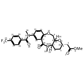 COC(=O)C[C@@H]1CC[C@H]2[C@H](COc3ccc(N(C)C(=O)c4ccc(C(F)(F)F)cc4)cc3C(=O)N2C)O1